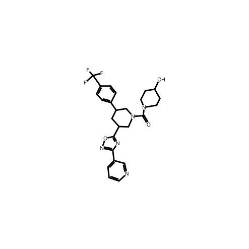 O=C(N1CCC(O)CC1)N1CC(c2ccc(C(F)(F)F)cc2)CC(c2nc(-c3cccnc3)no2)C1